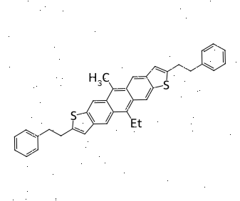 CCc1c2cc3cc(CCc4ccccc4)sc3cc2c(C)c2cc3cc(CCc4ccccc4)sc3cc12